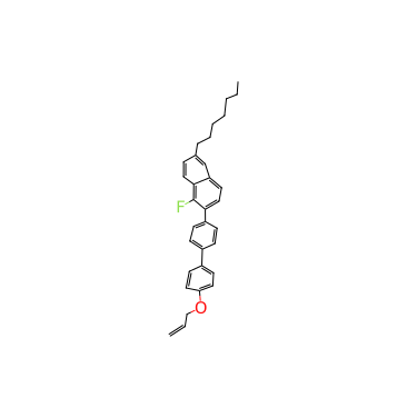 C=CCOc1ccc(-c2ccc(-c3ccc4cc(CCCCCCC)ccc4c3F)cc2)cc1